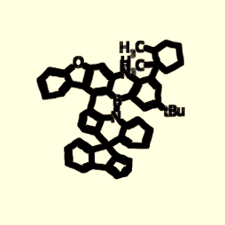 CC1CCCCC1(C)c1cc(C(C)(C)C)cc2c1Nc1cc3oc4ccccc4c3c3c1B2N1c2ccccc2C2(c4ccccc4-c4ccccc42)c2cccc-3c21